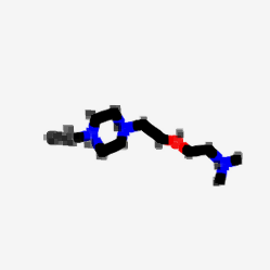 CN(C)CCOCCN1CCN([C]=O)CC1